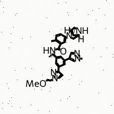 COCCn1ccc(-c2cc(-c3cnn(C)c3)cc([C@@H](C)NC(=O)c3cc(N4C[C@H]5C[C@@H]4CN5)ccc3C)c2)n1